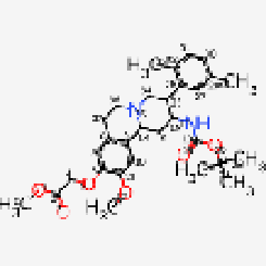 COC(=O)COc1cc2c(cc1OC)C1CC(NC(=O)OC(C)(C)C)C(c3cc(C)ccc3C)CN1CC2